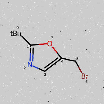 CC(C)(C)c1ncc(CBr)o1